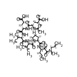 C=CCN(C)C(=O)C(=O)C(CCC)NC(=O)[C@@H]1CCCN1C(=O)[C@@H](NC(=O)[C@@H](NC(=O)[C@H](CCC(=O)O)NC(=O)[C@H](CCC(=O)O)NC(C)=O)C(C)C)C(C)C